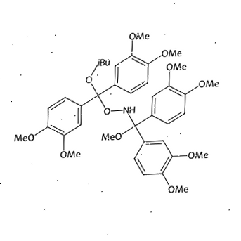 CCC(C)OC(ONC(OC)(c1ccc(OC)c(OC)c1)c1ccc(OC)c(OC)c1)(c1ccc(OC)c(OC)c1)c1ccc(OC)c(OC)c1